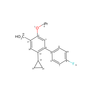 CC(C)Oc1cc(-c2ccc(F)cc2)c(C2CC2)cc1C(=O)O